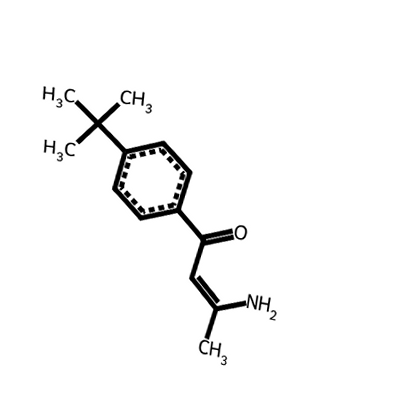 C/C(N)=C/C(=O)c1ccc(C(C)(C)C)cc1